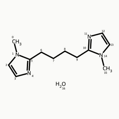 Cn1ccnc1CCCCc1nccn1C.O